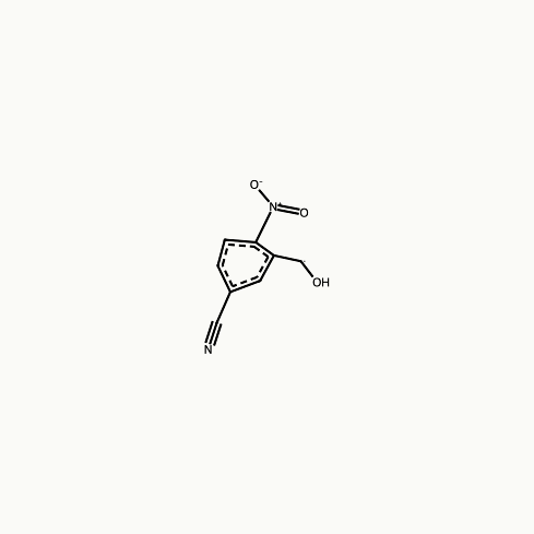 N#Cc1ccc([N+](=O)[O-])c([CH]O)c1